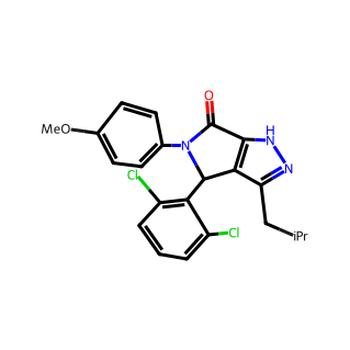 COc1ccc(N2C(=O)c3[nH]nc(CC(C)C)c3C2c2c(Cl)cccc2Cl)cc1